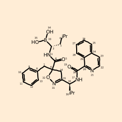 CC(C)C[C@H](NC(=O)C1(Cc2ccccc2)CC([C@@H](NC(=O)c2nccc3ccccc23)C(C)C)=NO1)B(O)O